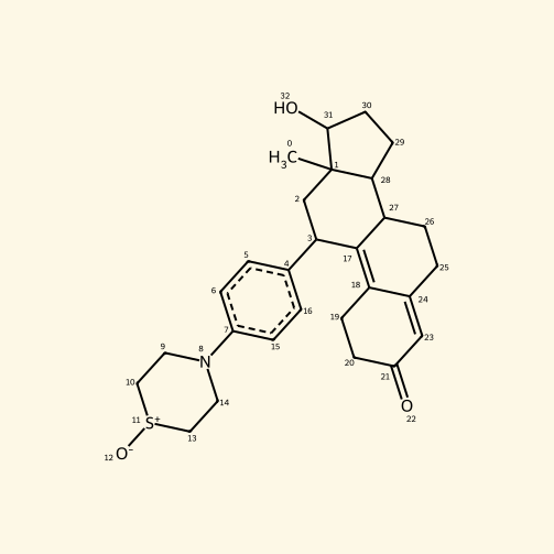 CC12CC(c3ccc(N4CC[S+]([O-])CC4)cc3)C3=C4CCC(=O)C=C4CCC3C1CCC2O